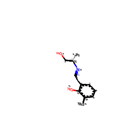 CC(C)[C@@H](CO)/N=C/c1cccc(C(C)(C)C)c1O